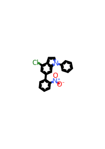 O=[N+]([O-])c1ccccc1-c1cc(Cl)c2ccn(-c3ccccc3)c2c1